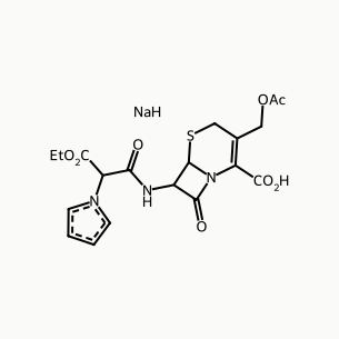 CCOC(=O)C(C(=O)NC1C(=O)N2C(C(=O)O)=C(COC(C)=O)CSC12)n1cccc1.[NaH]